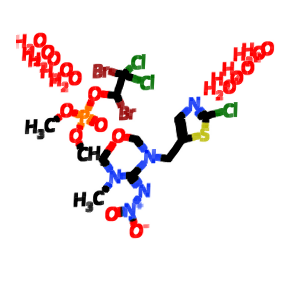 CN1COCN(Cc2cnc(Cl)s2)/C1=N/[N+](=O)[O-].COP(=O)(OC)OC(Br)C(Cl)(Cl)Br.O.O.O.O.O.O.O.O.O.O